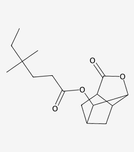 CCC(C)(C)CCC(=O)OC1C2CC3C(=O)OC1C3C2